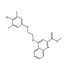 COC(=O)c1cc(OCCOc2cc(C)c(Cl)c(C)c2)c2ccccc2n1